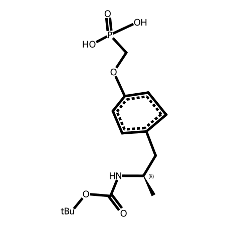 C[C@H](Cc1ccc(OCP(=O)(O)O)cc1)NC(=O)OC(C)(C)C